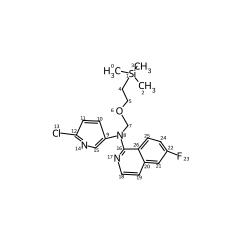 C[Si](C)(C)CCOCN(c1ccc(Cl)nc1)c1nccc2cc(F)ccc12